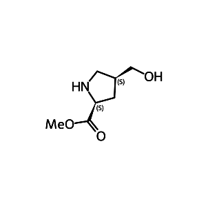 COC(=O)[C@@H]1C[C@H](CO)CN1